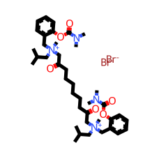 CC(C)C[N+](C)(CC(=O)CCCCCCC(=O)C[N+](C)(Cc1ccccc1OC(=O)N(C)C)CC(C)C)Cc1ccccc1OC(=O)N(C)C.[Br-].[Br-]